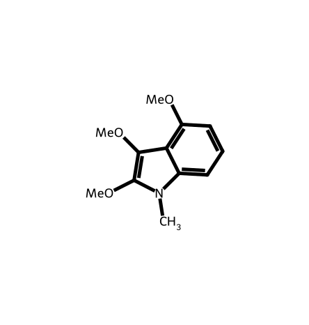 COc1cccc2c1c(OC)c(OC)n2C